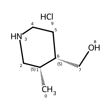 C[C@@H]1CNCC[C@@H]1CO.Cl